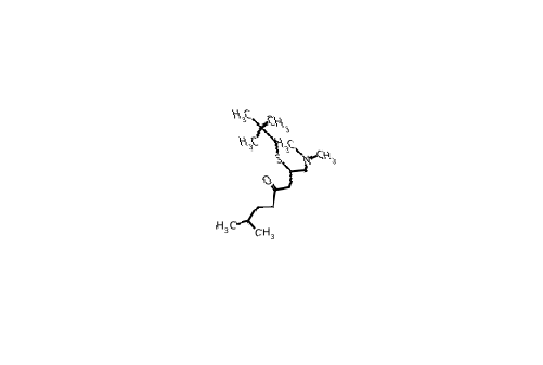 CC(C)CCC(=O)CC(CN(C)C)SCC(C)(C)C